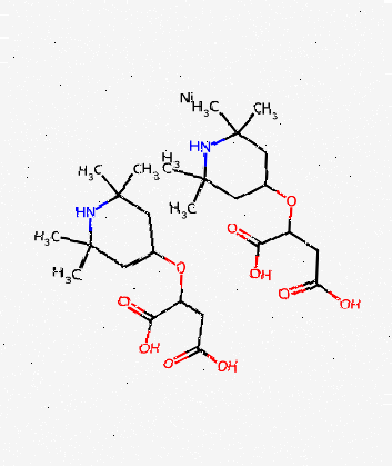 CC1(C)CC(OC(CC(=O)O)C(=O)O)CC(C)(C)N1.CC1(C)CC(OC(CC(=O)O)C(=O)O)CC(C)(C)N1.[Ni]